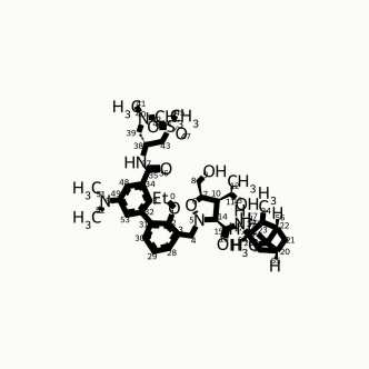 CCOc1c(CN2O[C@@H](CO)[C@@H]([C@H](C)O)[C@H]2C(=O)N[C@H]2C[C@H]3C[C@@H]([C@@H]2C)C3(C)C)cccc1-c1cc(C(=O)N[C@H](CN(C)C)CS(C)(=O)=O)cc(N(C)C)c1